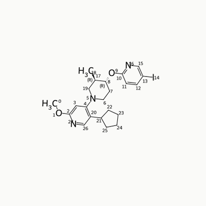 COc1cc(N2CC[C@@H](Oc3ccc(I)cn3)[C@H](C)C2)c(C2CCCC2)cn1